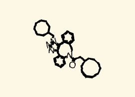 O=C(CC1CCCCCCCCC1)N1Cc2ccccc2-c2c(nnn2CC2CCCCCCC2)-c2ccccc21